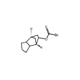 CCC(C)C(=O)OC1C[C@H]2C[C@H]1C1CCCC12